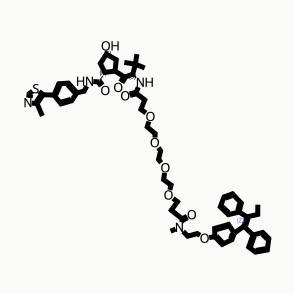 CC/C(=C(\c1ccccc1)c1ccc(OCCN(C)C(=O)CCOCCOCCOCCOCCC(=O)N[C@H](C(=O)C2C[C@H](O)C[C@H]2C(=O)NCc2ccc(-c3scnc3C)cc2)C(C)(C)C)cc1)c1ccccc1